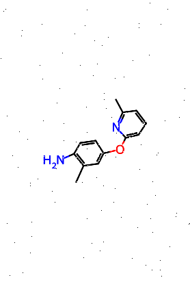 Cc1cccc(Oc2ccc(N)c(C)c2)n1